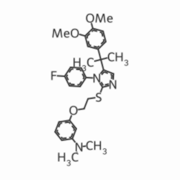 COc1ccc(C(C)(C)c2cnc(SCCOc3cccc(N(C)C)c3)n2-c2ccc(F)cc2)cc1OC